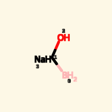 BCO.[NaH]